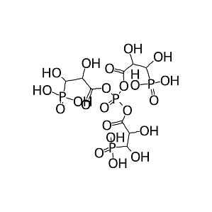 O=C(OP(=O)(OC(=O)C(O)C(O)P(=O)(O)O)OC(=O)C(O)C(O)P(=O)(O)O)C(O)C(O)P(=O)(O)O